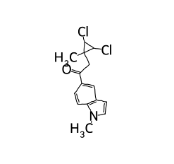 Cn1ccc2cc(C(=O)CC3(C)C(Cl)C3Cl)ccc21